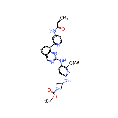 C=CC(=O)Nc1ccnc(-c2cccc3cnc(Nc4ccc(NC5CN(C(=O)OC(C)(C)C)C5)nc4OC)nc23)c1